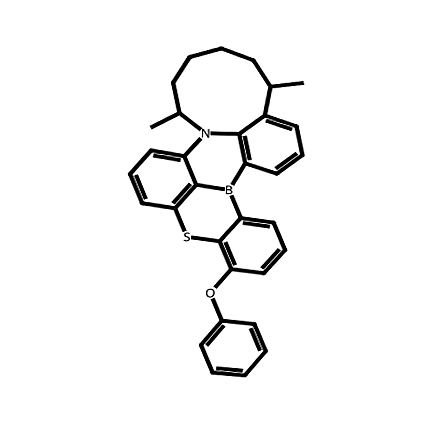 CC1CCCCC(C)N2c3cccc4c3B(c3cccc(Oc5ccccc5)c3S4)c3cccc1c32